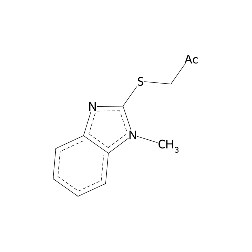 CC(=O)CSc1nc2ccccc2n1C